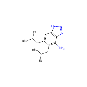 CCCCC(CC)Cc1cc2[nH]nnc2c(N)c1CC(CC)CCCC